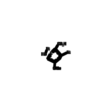 CCO.CCc1cc(OC)ccc1C(=O)O